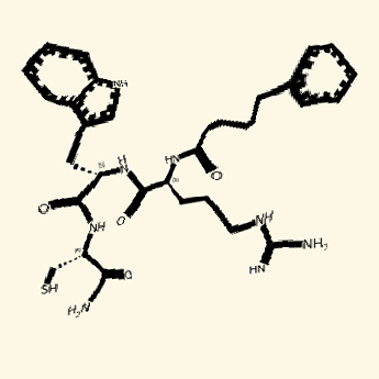 N=C(N)NCCC[C@H](NC(=O)CCCc1ccccc1)C(=O)N[C@@H](Cc1c[nH]c2ccccc12)C(=O)N[C@@H](CS)C(N)=O